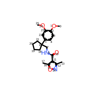 COc1ccc(C2(CNC(=O)c3c(C)noc3C)CCCC2)cc1OC